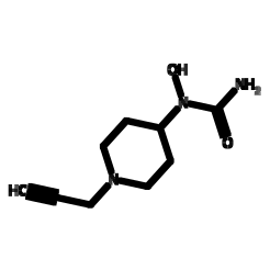 C#CCN1CCC(N(O)C(N)=O)CC1